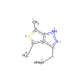 CCCCCCCCc1n[nH]c2c(C)sc(C)c12